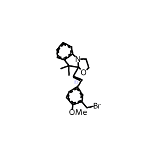 COc1ccc(/C=C/C23OCCN2c2ccccc2C3(C)C)cc1CBr